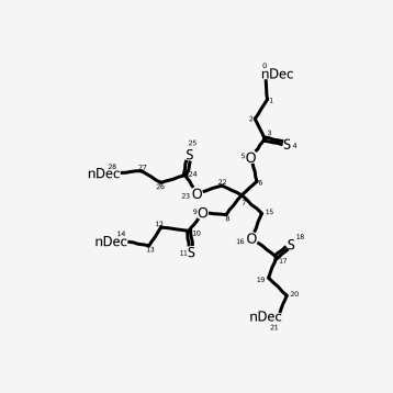 CCCCCCCCCCCCC(=S)OCC(COC(=S)CCCCCCCCCCCC)(COC(=S)CCCCCCCCCCCC)COC(=S)CCCCCCCCCCCC